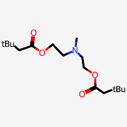 CN(CCOC(=O)CC(C)(C)C)CCOC(=O)CC(C)(C)C